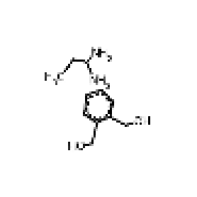 CCC(N)N.OCc1ccccc1CO